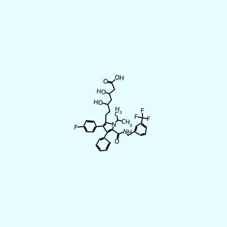 CC(C)n1c(CCC(O)CC(O)CC(=O)O)c(-c2ccc(F)cc2)c(-c2ccccc2)c1C(=O)NCc1cccc(C(F)(F)F)c1